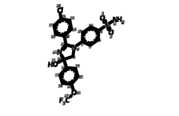 NS(=O)(=O)c1ccc(N2CC(O)(c3ccc(OC(F)(F)F)cc3)N=C2c2ccc(Cl)cc2)cc1